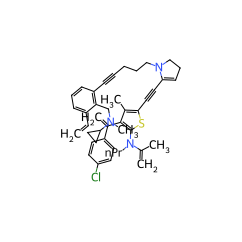 C=Cc1cccc(C#CCCCN2CCC=C2C#Cc2sc(N(CCC)C(=C)C)c(C(=C)c3ccc(Cl)cc3)c2C)c1CN(C)C1CC1